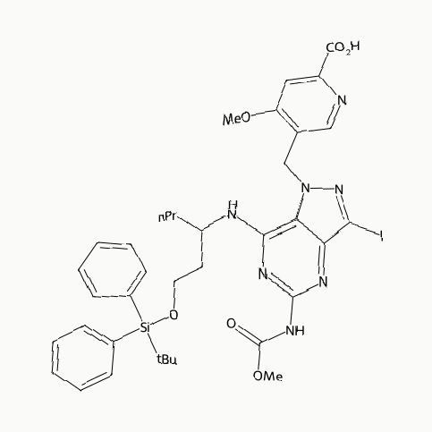 CCCC(CCO[Si](c1ccccc1)(c1ccccc1)C(C)(C)C)Nc1nc(NC(=O)OC)nc2c(I)nn(Cc3cnc(C(=O)O)cc3OC)c12